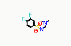 CN(C)/C=N\S(=O)(=O)c1ccc(F)c(F)c1